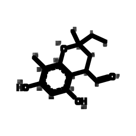 CCC1(C)CC(C=O)c2c(O)cc(O)c(C)c2O1